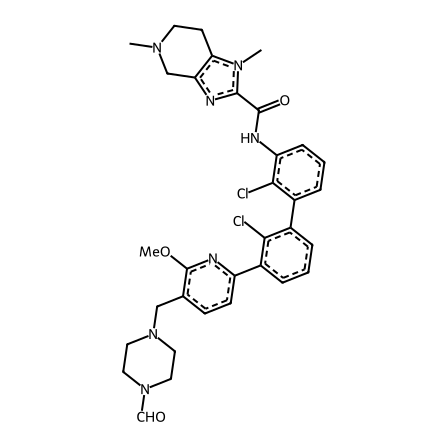 COc1nc(-c2cccc(-c3cccc(NC(=O)c4nc5c(n4C)CCN(C)C5)c3Cl)c2Cl)ccc1CN1CCN(C=O)CC1